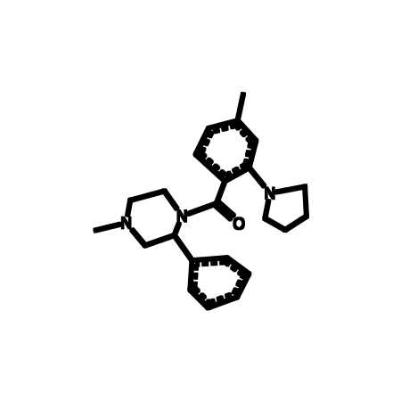 Cc1ccc(C(=O)N2CCN(C)CC2c2ccccc2)c(N2CCCC2)c1